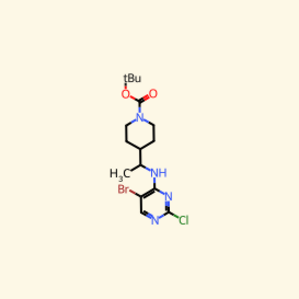 CC(Nc1nc(Cl)ncc1Br)C1CCN(C(=O)OC(C)(C)C)CC1